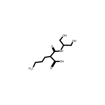 CCCCC(C(=O)O)C(=O)NC(CO)CO